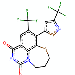 O=c1[nH]c(=O)n2c3c(c(-c4cc(C(F)(F)F)ns4)c(C(F)(F)F)cc13)SCCC2